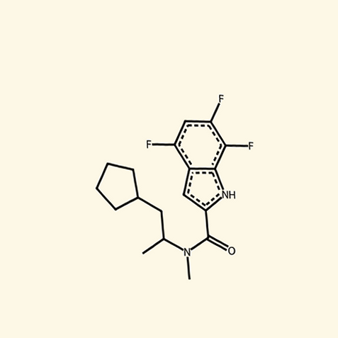 CC(CC1CCCC1)N(C)C(=O)c1cc2c(F)cc(F)c(F)c2[nH]1